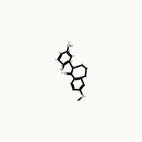 COc1ccc2c(c1)CCCC(c1cc(O)ccc1F)C2=O